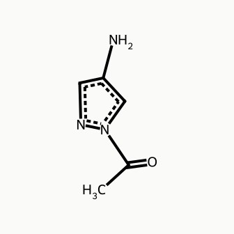 CC(=O)n1cc(N)cn1